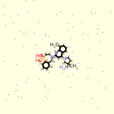 Cc1cccc2c(N3CCC(C)(N)C3)cc(N3CCS(O)(O)c4ccccc4C3)nc12